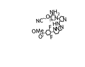 COC1(c2cc(F)c(-c3ccc4cnc(Nc5cnccc5N5C[C@@H](N)[C@@H](OCCC#N)[C@@H](C)C5)n4n3)c(F)c2)COC1